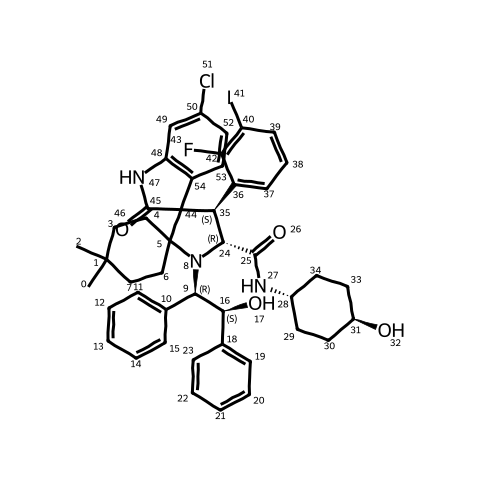 CC1(C)CCC2(CC1)N([C@H](c1ccccc1)[C@@H](O)c1ccccc1)[C@@H](C(=O)N[C@H]1CC[C@H](O)CC1)[C@H](c1cccc(I)c1F)C21C(=O)Nc2cc(Cl)ccc21